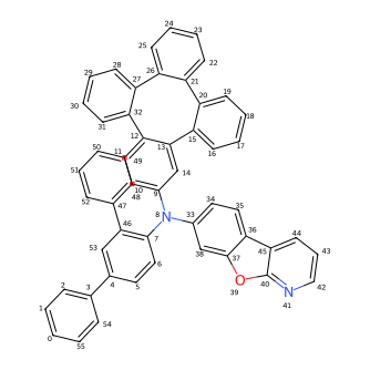 c1ccc(-c2ccc(N(c3ccc4c(c3)-c3ccccc3-c3ccccc3-c3ccccc3-4)c3ccc4c(c3)oc3ncccc34)c(-c3ccccc3)c2)cc1